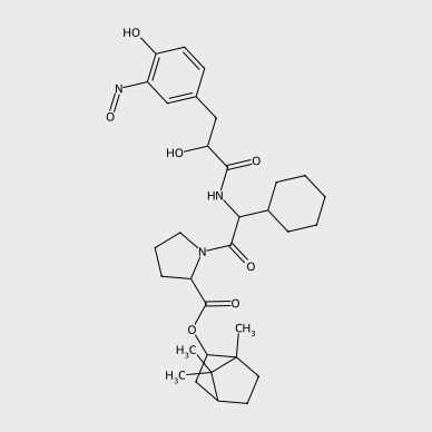 CC1(C)C2CCC1(C)C(OC(=O)C1CCCN1C(=O)C(NC(=O)C(O)Cc1ccc(O)c(N=O)c1)C1CCCCC1)C2